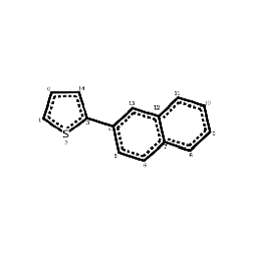 c1csc(-c2ccc3ccccc3c2)c1